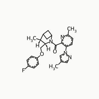 Cc1cnn(-c2ccc(C)nc2C(=O)N2C3CC(C3)[C@@H](C)[C@H]2COc2ccc(F)cc2)c1